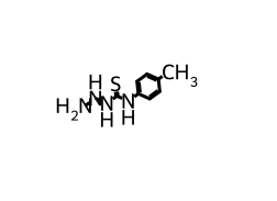 Cc1ccc(NC(=S)NNN)cc1